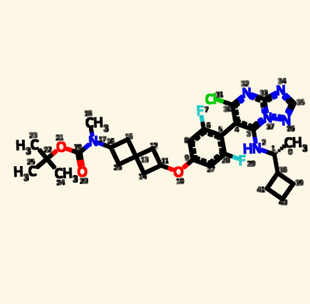 C[C@@H](Nc1c(-c2c(F)cc(OC3CC4(C3)CC(N(C)C(=O)OC(C)(C)C)C4)cc2F)c(Cl)nc2ncnn12)C1CCC1